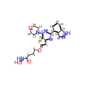 O=C(CCCOc1cc2nc(-c3cccc4[nH]ncc34)nc(N3CCOCC3)c2s1)NO